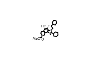 COC(=O)N1CCc2ccc3c(nc(C4CCCCC4)n3C[C@H](C(=O)O)C3CCCCC3)c2C1